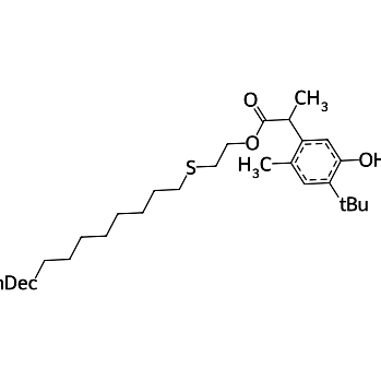 CCCCCCCCCCCCCCCCCCSCCOC(=O)C(C)c1cc(O)c(C(C)(C)C)cc1C